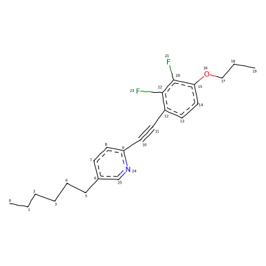 CCCCCCc1ccc(C#Cc2ccc(OCCC)c(F)c2F)nc1